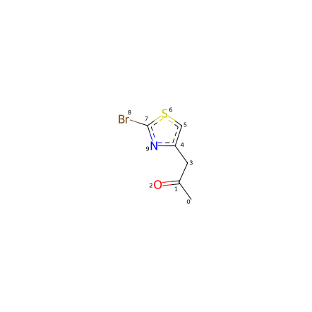 CC(=O)Cc1csc(Br)n1